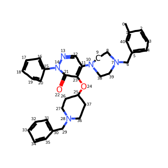 Cc1cccc(CN2CCN(c3cnn(-c4ccccc4)c(=O)c3OC3CCN(Cc4ccccc4)CC3)CC2)c1